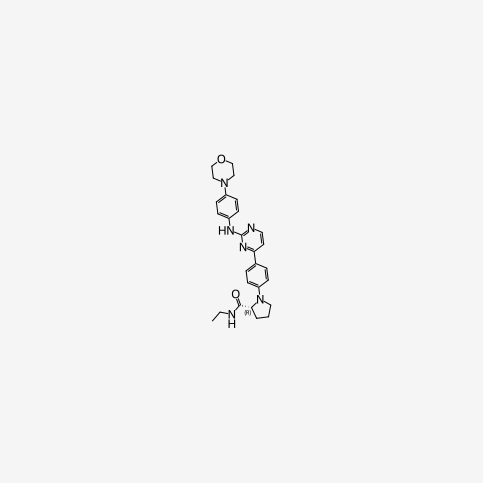 CCNC(=O)[C@H]1CCCN1c1ccc(-c2ccnc(Nc3ccc(N4CCOCC4)cc3)n2)cc1